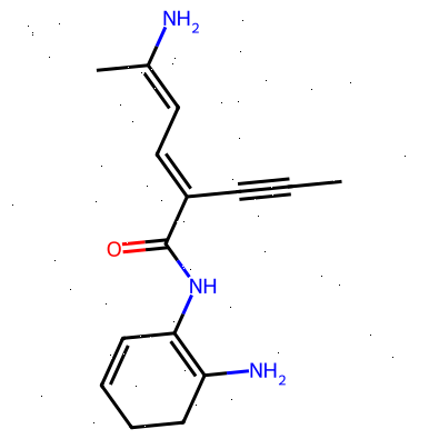 CC#C/C(=C\C=C(/C)N)C(=O)NC1=C(N)CCC=C1